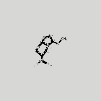 CSc1nnc2ccc([N+](=O)[O-])cn12